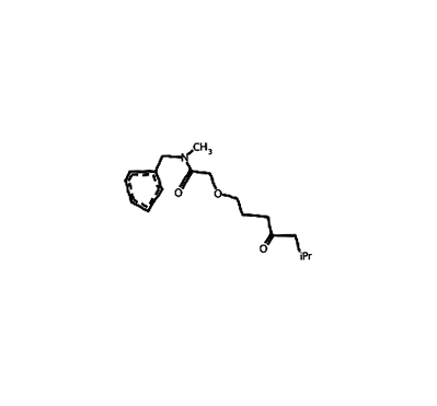 CC(C)CC(=O)CCCOCC(=O)N(C)Cc1ccccc1